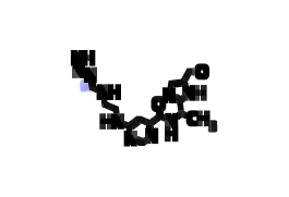 CC(NC(=O)c1cc(NCCN/C=N/N=N)ncn1)c1ncc(C=O)[nH]1